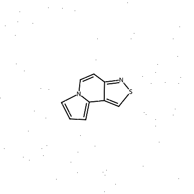 c1cc2c3csnc3ccn2c1